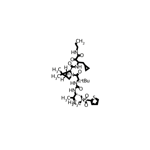 C=CCNC(=O)C(=O)C(CC1CC1)NC(=O)[C@@H]1[C@@H]2[C@H](CN1C(=O)[C@@H](NC(=O)N[C@H](CN(C)S(=O)(=O)c1cccs1)C(=C)C)C(C)(C)C)C2(C)C